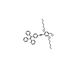 CCCCCCOc1cc(C=O)c(OCCCCCC)cc1C#Cc1ccc(C(=C(c2ccccc2)c2ccccc2)c2ccccc2)cc1